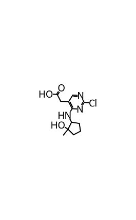 CC1(O)CCCC1Nc1nc(Cl)ncc1CC(=O)O